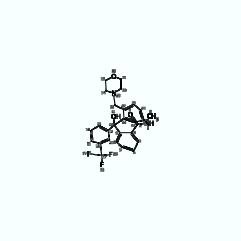 CNC(=O)c1ccccc1C(O)(c1cccc(C(F)(F)F)c1)c1ccccc1CN1CCOCC1